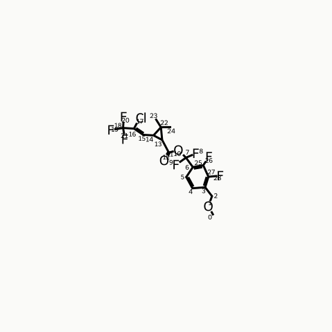 COCc1ccc(C(F)(F)OC(=O)C2C(C=C(Cl)C(F)(F)F)C2(C)C)c(F)c1F